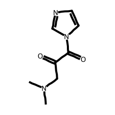 CN(C)CC(=O)C(=O)n1ccnc1